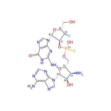 Nc1nc2c(ncn2[C@@H]2O[C@H](CO)[C@@H](F)[C@H]2O[P@@](O)(=S)OC[C@H]2O[C@@H](n3cnc4c(N)ncnc43)[C@H](O)[C@@H]2N)c(=O)[nH]1